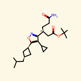 CC(C)C[C@H]1C[C@@H](c2onc([C@@H](CCC(N)=O)CC(=O)OC(C)(C)C)c2C2CC2)C1